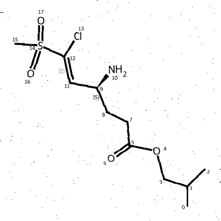 CC(C)COC(=O)CC[C@H](N)/C=C(\Cl)S(C)(=O)=O